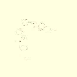 CC(=O)N1CCc2nc(C(=O)Nc3cccc(-c4cccc(NC(=O)c5ccc6c(n5)CCNC6)c4C)c3C)ccc2C1